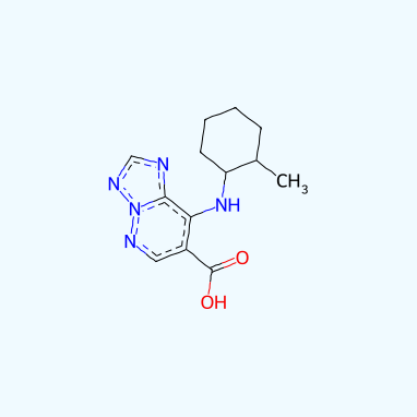 CC1CCCCC1Nc1c(C(=O)O)cnn2ncnc12